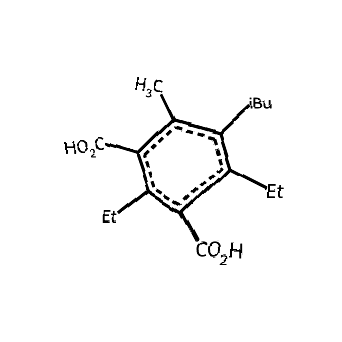 CCc1c(C(=O)O)c(C)c(C(C)CC)c(CC)c1C(=O)O